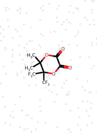 CC1(C)OC(=O)C(=O)OC1(C(F)(F)F)C(F)(F)F